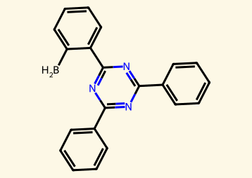 Bc1ccccc1-c1nc(-c2ccccc2)nc(-c2ccccc2)n1